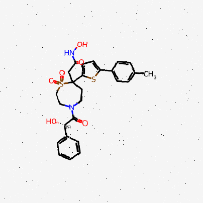 Cc1ccc(-c2ccc(C3(CC(=O)NO)CCN(C(=O)[C@@H](O)c4ccccc4)CCS3(=O)=O)s2)cc1